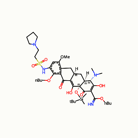 CCCCOC(=N)C1=C(O)[C@@H](N(C)C)[C@@H]2C[C@@H]3Cc4c(OC)cc(NS(=O)(=O)CCN5CCCC5)c(OCCCC)c4C(=O)C3=C(O)[C@]2(O[Si](C)(C)C(C)(C)C)C1=O